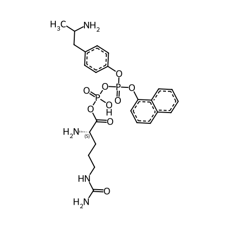 CC(N)Cc1ccc(OP(=O)(Oc2cccc3ccccc23)OP(=O)(O)OC(=O)[C@@H](N)CCCNC(N)=O)cc1